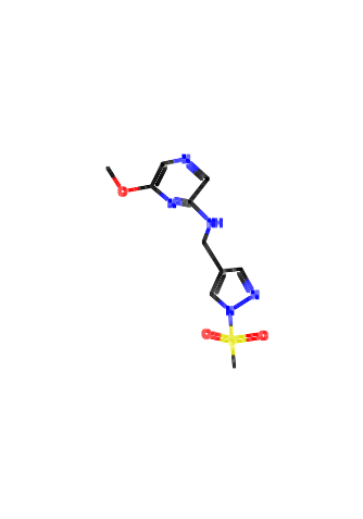 COc1cncc(NCc2cnn(S(C)(=O)=O)c2)n1